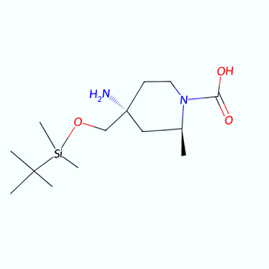 C[C@H]1C[C@@](N)(CO[Si](C)(C)C(C)(C)C)CCN1C(=O)O